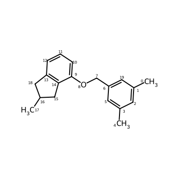 Cc1cc(C)cc(COc2cccc3c2CC(C)C3)c1